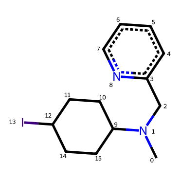 CN(Cc1ccccn1)C1CCC(I)CC1